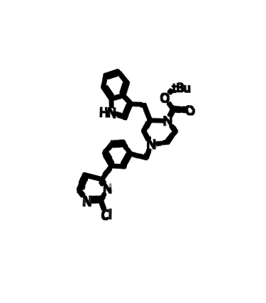 CC(C)(C)OC(=O)N1CCN(Cc2cccc(-c3ccnc(Cl)n3)c2)CC1Cc1c[nH]c2ccccc12